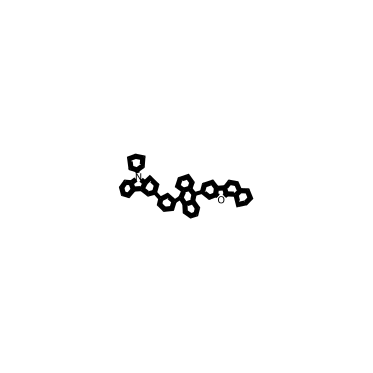 c1ccc(-n2c3ccccc3c3cc(-c4cccc(-c5c6ccccc6c(-c6ccc7c(c6)oc6c8ccccc8ccc76)c6ccccc56)c4)ccc32)cc1